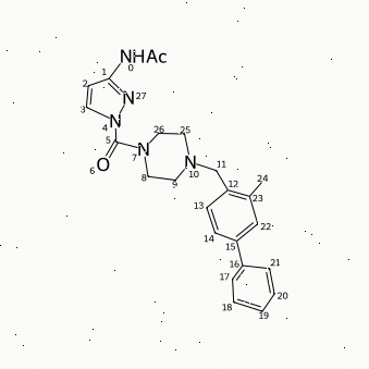 CC(=O)Nc1ccn(C(=O)N2CCN(Cc3ccc(-c4ccccc4)cc3C)CC2)n1